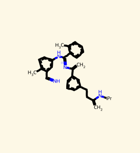 C=C(CCc1cccc(C(=C)/N=C(/Nc2ccc(C)c(C=N)c2)c2ccccc2C)c1)NC(C)C